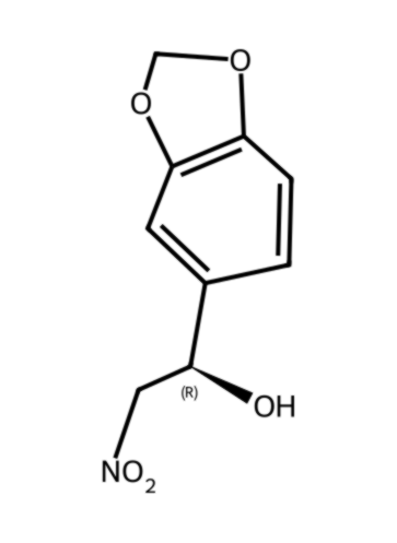 O=[N+]([O-])C[C@H](O)c1ccc2c(c1)OCO2